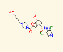 COc1ccc(C(=O)Nc2c(Cl)cncc2Cl)c2cc(C(=O)N3CCN(CCCCO)CC3)oc12